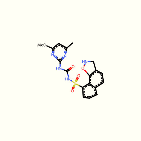 COc1cc(C)nc(NC(=O)NS(=O)(=O)c2cccc3ccc4c(c23)ONC4)n1